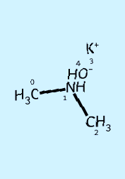 CNC.[K+].[OH-]